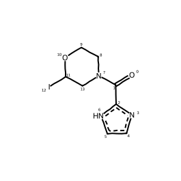 O=C(c1ncc[nH]1)N1CCOC(I)C1